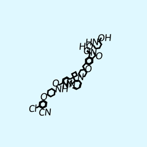 N#Cc1ccc(O[C@H]2CC[C@H](NC(=O)c3ccc(C4(C5=C(N6CCC7(CC6)Cc6cc8c(cc6O7)C(=O)N(C6CCC(O)NC6O)C8=O)C=CC=CN5)CCC4)nn3)CC2)cc1Cl